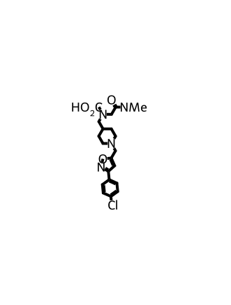 CNC(=O)CN(CC1CCN(Cc2cc(-c3ccc(Cl)cc3)no2)CC1)C(=O)O